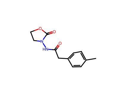 Cc1ccc(CC(=O)NN2CCOC2=O)cc1